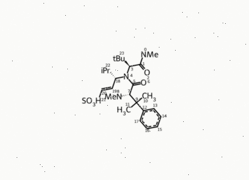 CNC(=O)[C@@H](N(C(=O)[C@@H](NC)C(C)(C)c1ccccc1)[C@H](/C=C/S(=O)(=O)O)C(C)C)C(C)(C)C